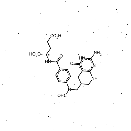 Nc1nc2c(c(=O)[nH]1)CC(CN(C=O)c1ccc(C(=O)N[C@@H](CCC(=O)O)C(=O)O)cc1)CN2